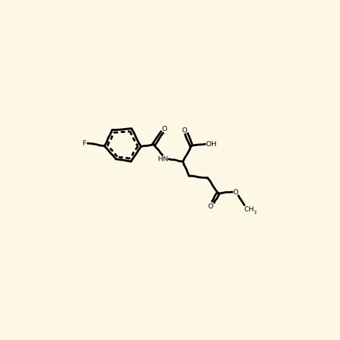 COC(=O)CCC(NC(=O)c1ccc(F)cc1)C(=O)O